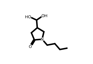 CCCCN1CC(C(O)O)CC1=O